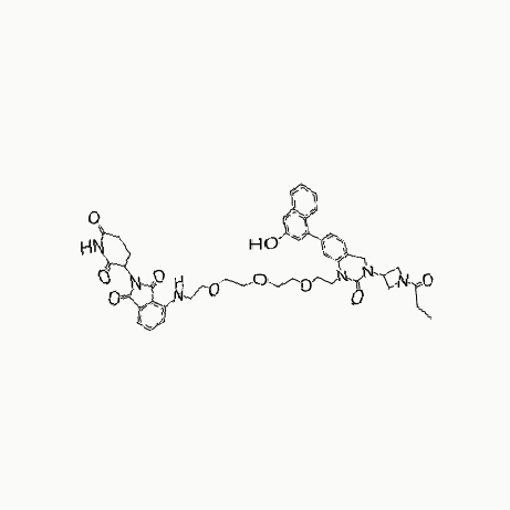 CCC(=O)N1CC(N2Cc3ccc(-c4cc(O)cc5ccccc45)cc3N(CCOCCOCCOCCNc3cccc4c3C(=O)N(C3CCC(=O)NC3=O)C4=O)C2=O)C1